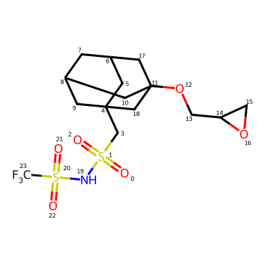 O=S(=O)(CC12CC3CC(C1)CC(OCC1CO1)(C3)C2)NS(=O)(=O)C(F)(F)F